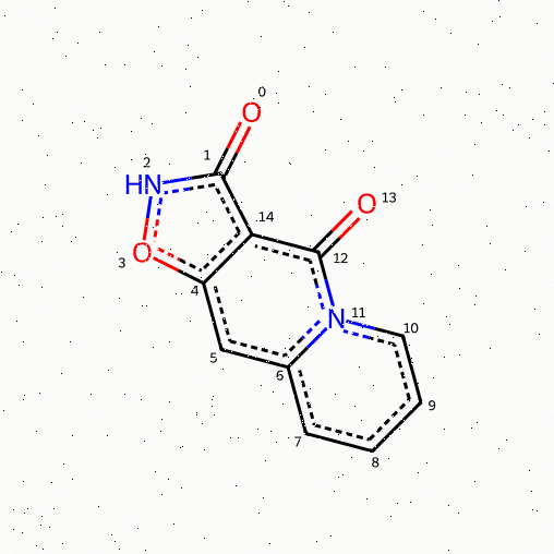 O=c1[nH]oc2cc3ccccn3c(=O)c12